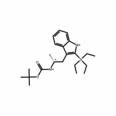 CC[Si](CC)(CC)c1[nH]c2ccccc2c1C[C@@H](C)NC(=O)OC(C)(C)C